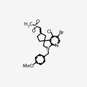 COc1ccc(CN2CC3(CC/C(=C\S(C)(=O)=O)C3)c3c2ncc(Br)c3Cl)cc1